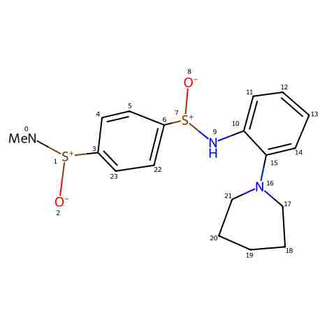 CN[S+]([O-])c1ccc([S+]([O-])Nc2ccccc2N2CCCCC2)cc1